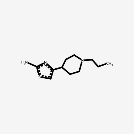 CCCN1CCC(c2csc(N)n2)CC1